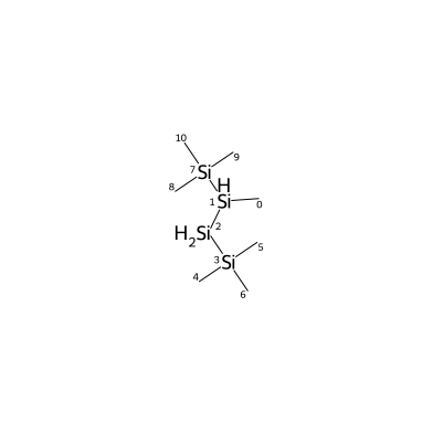 C[SiH]([SiH2][Si](C)(C)C)[Si](C)(C)C